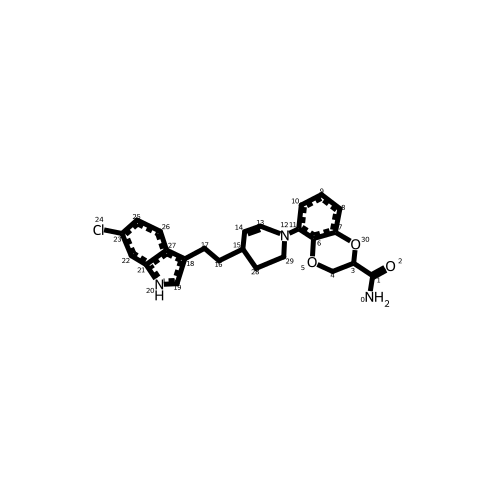 NC(=O)C1COc2c(cccc2N2C=CC(CCc3c[nH]c4cc(Cl)ccc34)CC2)O1